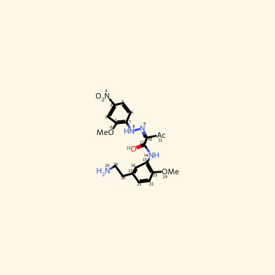 COc1cc([N+](=O)[O-])ccc1N/N=C(/C(C)=O)C(=O)Nc1cc(CCN)ccc1OC